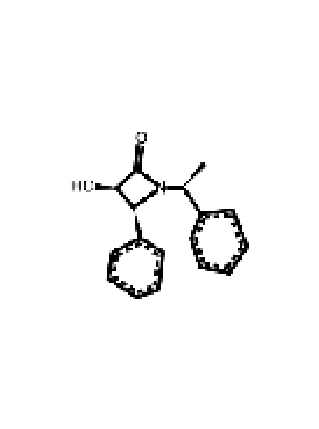 C[C@@H](c1ccccc1)N1C(=O)[C@H](O)[C@@H]1c1ccccc1